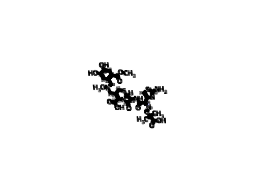 COC(=O)c1cc(O)c(O)cc1CN(C)CC1=C(C(=O)O)N2C(=O)C(NC(=O)/C(=N\OC(C)(C)C(=O)O)c3csc(N)n3)[C@@H]2SC1